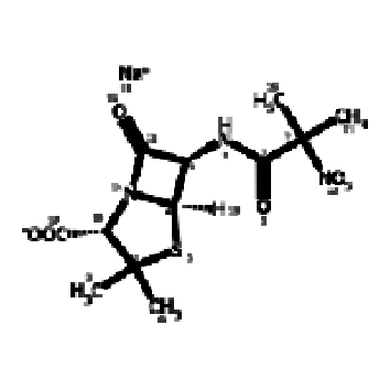 CC1(C)S[C@@H]2[C@H](NC(=O)C(C)(C)[N+](=O)[O-])C(=O)N2[C@H]1C(=O)[O-].[Na+]